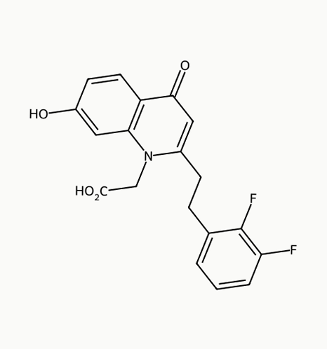 O=C(O)Cn1c(CCc2cccc(F)c2F)cc(=O)c2ccc(O)cc21